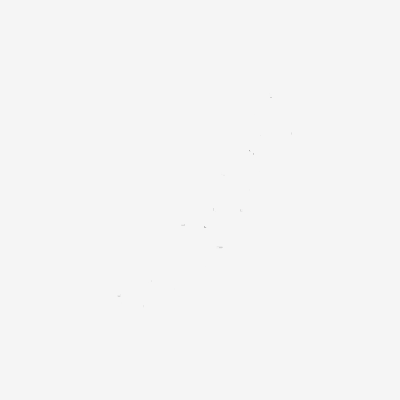 CC(C)(C)OC(=O)N1CC2=CC(c3ccc(OCCO)cc3)CC2C1